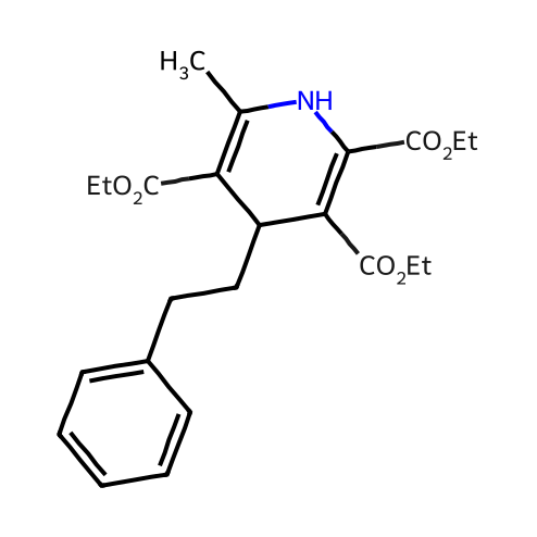 CCOC(=O)C1=C(C(=O)OCC)C(CCc2ccccc2)C(C(=O)OCC)=C(C)N1